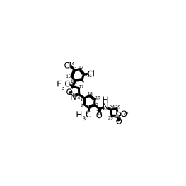 Cc1cc(C2=NOC(c3cc(Cl)cc(Cl)c3)(C(F)(F)F)C2)ccc1C(=O)NC1CS(=O)(=O)C1